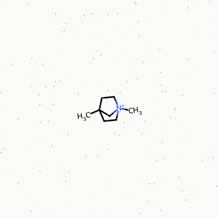 CC12CC[N+](C)(CC1)C2